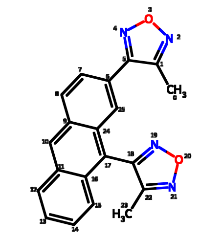 Cc1nonc1-c1ccc2cc3ccccc3c(-c3nonc3C)c2c1